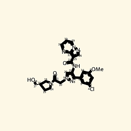 COc1cc(Cl)cc(-c2nn(CC(=O)N3CC[C@H](CO)C3)cc2NC(=O)c2cnn3cccnc23)c1